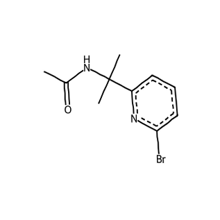 CC(=O)NC(C)(C)c1cccc(Br)n1